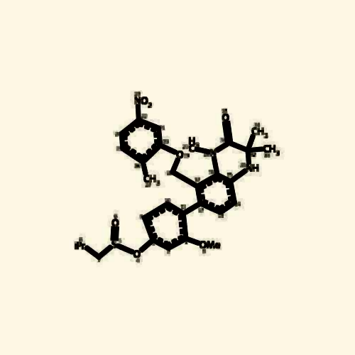 COc1cc(OS(=O)CC(C)C)ccc1-c1ccc2c(c1COc1cc([N+](=O)[O-])ccc1C)N(C)C(=O)C(C)(C)N2